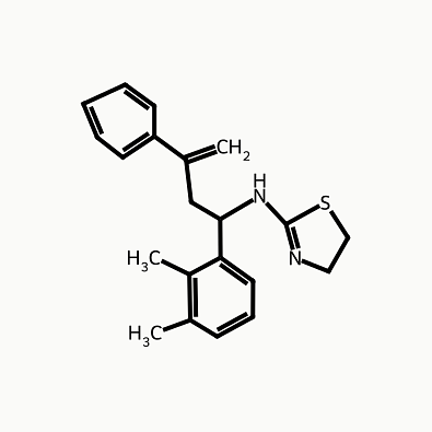 C=C(CC(NC1=NCCS1)c1cccc(C)c1C)c1ccccc1